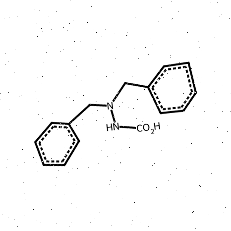 O=C(O)NN(Cc1ccccc1)Cc1ccccc1